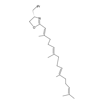 CC(C)=CCC/C(C)=C/CC/C(C)=C/CC/C(C)=C/C1=N[C@@H](CC(C)C)CO1